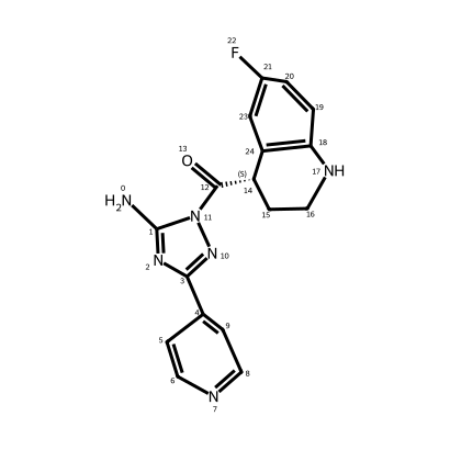 Nc1nc(-c2ccncc2)nn1C(=O)[C@H]1CCNc2ccc(F)cc21